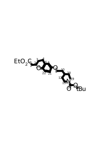 CCOC(=O)CC1CCc2cc(OCCC3CCN(C(=O)OC(C)(C)C)CC3)ccc2O1